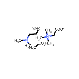 CC(=O)O.CCCCCCCCCCCCN(C)C.C[N+](C)(C)CC(=O)[O-]